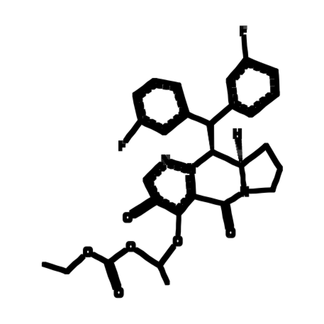 CCOC(=O)OC(C)Oc1c2n(ncc1=O)[C@@H](C(c1cccc(F)c1)c1cccc(F)c1)[C@H]1CCCN1C2=O